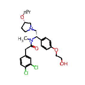 CCCO[C@H]1CCN(C[C@H](c2ccc(OCCO)cc2)N(C)C(=O)Cc2ccc(Cl)c(Cl)c2)C1